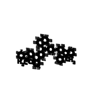 CC1(C)c2ccccc2-c2cccc(-c3ccccc3-c3ccc(N(c4ccc(-c5ccc6c(c5)C(C)(c5ccccc5)c5ccccc5-6)cc4)c4cccc5ccccc45)cc3)c21